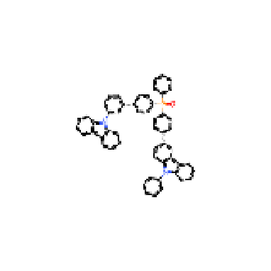 O=P(c1ccccc1)(c1ccc(-c2cccc(-n3c4ccccc4c4ccccc43)c2)cc1)c1ccc(-c2ccc3c(c2)c2ccccc2n3-c2ccccc2)cc1